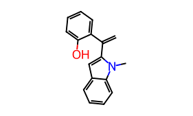 C=C(c1ccccc1O)c1cc2ccccc2n1C